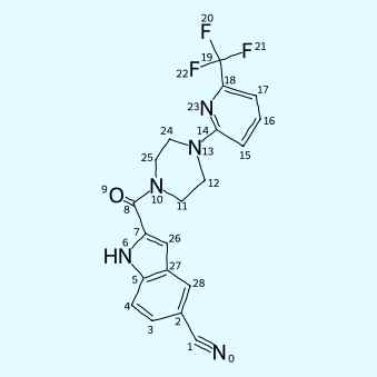 N#Cc1ccc2[nH]c(C(=O)N3CCN(c4cccc(C(F)(F)F)n4)CC3)cc2c1